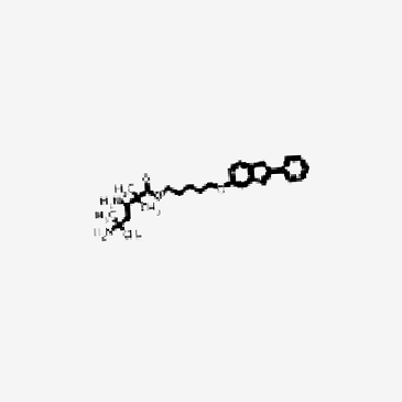 CC(C)(N)CC(N)C(C)(C)C(=O)OCCCCCOc1ccc2c(c1)C=C(c1ccccc1)C2